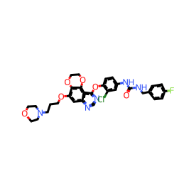 O=C(NCc1ccc(F)cc1)Nc1ccc(Oc2ncnc3cc(OCCCN4CCOCC4)c4c(c23)OCCO4)c(Cl)c1